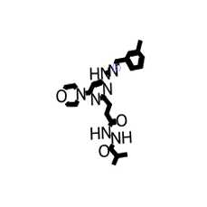 Cc1cccc(/C=N/Nc2cc(N3CCOCC3)nc(CCC(=O)NNC(=O)C(C)C)n2)c1